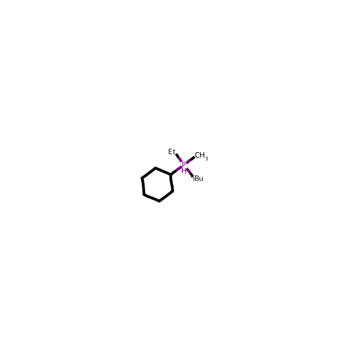 CCC(C)[PH](C)(CC)C1CCCCC1